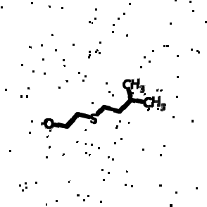 CC(C)CCSCC[O]